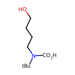 CC(C)(C)N(CCCCO)C(=O)O